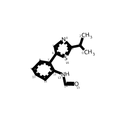 CC(C)c1ncc(-c2ccccc2NC=O)s1